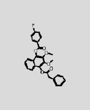 COc1c(OC)c(OC(=O)c2ccc(F)cc2)c2ccccc2c1OC(=O)Cc1ccccc1